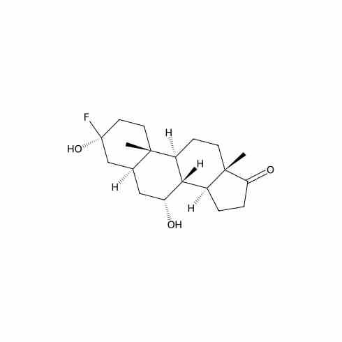 C[C@]12CC[C@](O)(F)C[C@@H]1C[C@@H](O)[C@@H]1[C@@H]2CC[C@]2(C)C(=O)CC[C@@H]12